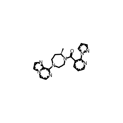 C[C@@H]1CCN(c2nccn3ccnc23)CCN1C(=O)c1cccnc1-n1cccn1